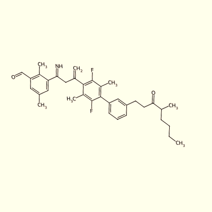 C=C(CC(=N)c1cc(C)cc(C=O)c1C)c1c(C)c(F)c(-c2cccc(CCC(=O)C(C)CCCC)c2)c(C)c1F